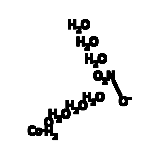 O.O.O.O.O.O.O.O=[N+]([O-])[O-].[Co]